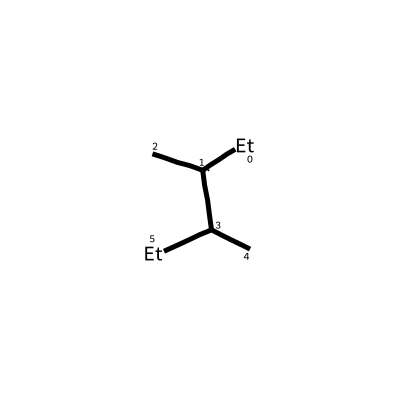 CC[C](C)C(C)CC